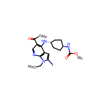 COCn1c(I)cc2c(N[C@H]3CC[C@H](NC(=O)OC(C)(C)C)CC3)c(C(=O)OC)cnc21